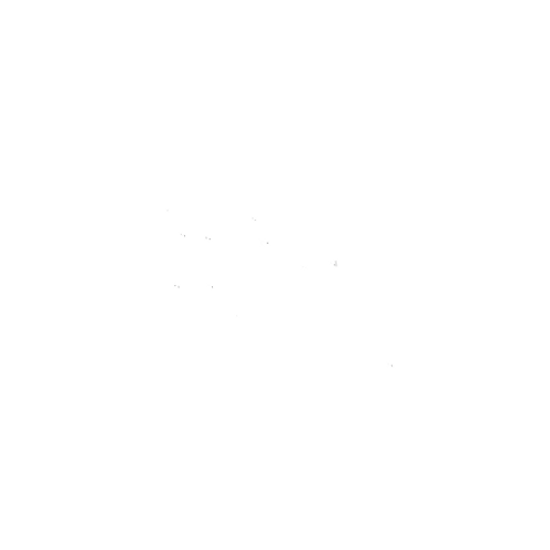 C=N/N=C\N(N)c1ccc(Cl)cc1/C=C/C(=O)NCC(=O)Nc1ccc(N2CCOCC2)cc1